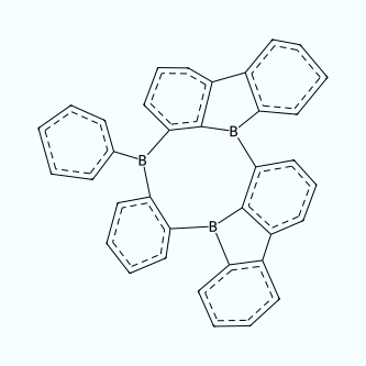 c1ccc(B2c3ccccc3B3c4ccccc4-c4cccc(c43)B3c4ccccc4-c4cccc2c43)cc1